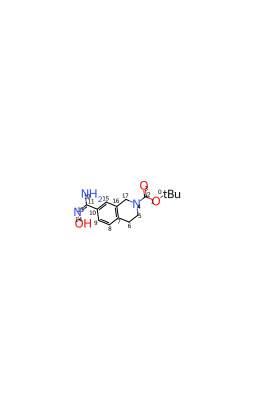 CC(C)(C)OC(=O)N1CCc2ccc(/C(N)=N\O)cc2C1